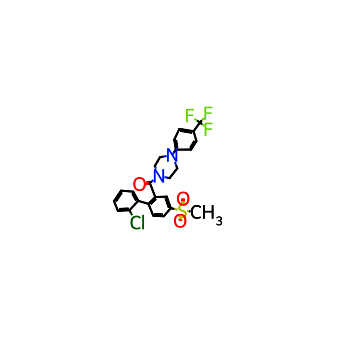 CS(=O)(=O)c1ccc(-c2ccccc2Cl)c(C(=O)N2CCN(c3ccc(C(F)(F)F)cc3)CC2)c1